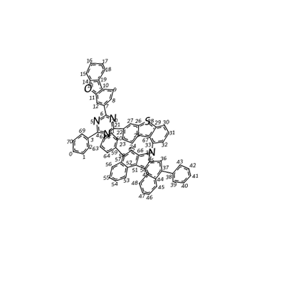 c1ccc(-c2nc(-c3ccc4c(c3)oc3ccccc34)nc(-c3ccc4c(c3)sc3cccc(-n5c6cc(-c7ccccc7)c7ccccc7c6c6c7ccccc7c(-c7ccccc7)cc65)c34)n2)cc1